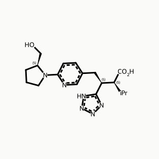 CC(C)[C@H](C(=O)O)[C@H](Cc1ccc(N2CCC[C@H]2CO)nc1)c1nnn[nH]1